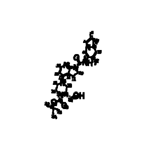 Cc1cn2cc(NC(=O)N3CCc4c(N5CCN(C(=O)OC(C)(C)C)[C@@H](CO)C5)ccnc43)c(F)cc2n1